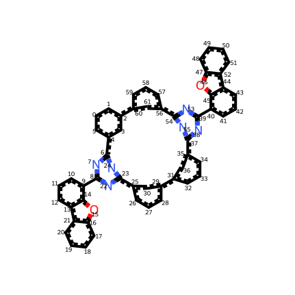 c1cc2cc(c1)c1nc(-c3cccc4c3oc3ccccc34)nc(n1)c1cccc(c1)c1cccc(c1)c1nc(-c3cccc4c3oc3ccccc34)nc(n1)c1cccc2c1